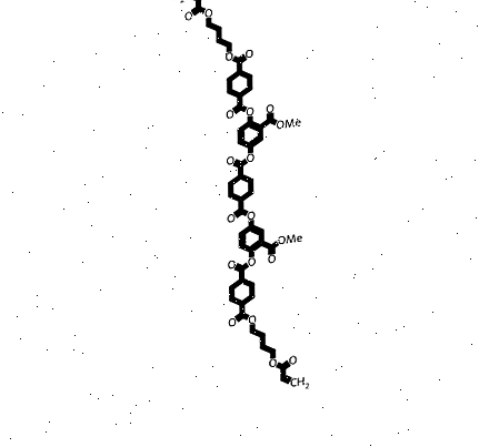 C=CC(=O)OCCCCOC(=O)C1CCC(C(=O)Oc2ccc(OC(=O)C3CCC(C(=O)Oc4ccc(OC(=O)C5CCC(C(=O)OCCCCOC(=O)C=C)CC5)c(C(=O)OC)c4)CC3)cc2C(=O)OC)CC1